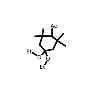 CCOC1(OCC)CC(C)(C)C(C(C)=O)C(C)(C)C1